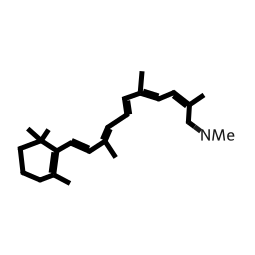 CNCC(C)=CC=C(C)C=CC=C(C)C=CC1=C(C)CCCC1(C)C